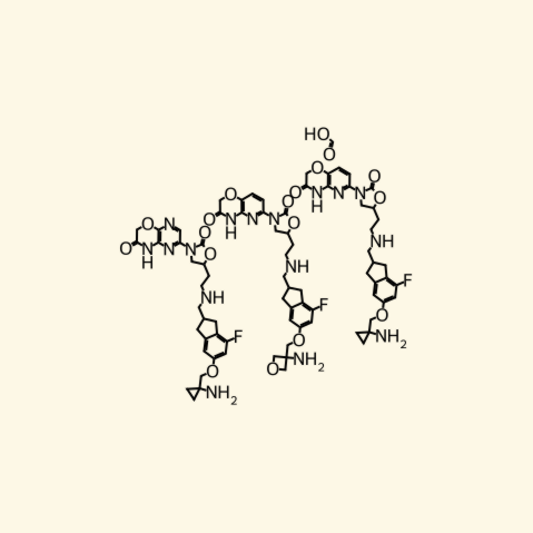 NC1(COc2cc(F)c3c(c2)CC(CNCCC2CN(c4ccc5c(n4)NC(=O)CO5)C(=O)O2)C3)CC1.NC1(COc2cc(F)c3c(c2)CC(CNCCC2CN(c4ccc5c(n4)NC(=O)CO5)C(=O)O2)C3)COC1.NC1(COc2cc(F)c3c(c2)CC(CNCCC2CN(c4cnc5c(n4)NC(=O)CO5)C(=O)O2)C3)CC1.O=CO